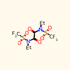 CCN(C(=O)C(=O)N(CC)S(=O)(=O)C(F)(F)F)S(=O)(=O)C(F)(F)F